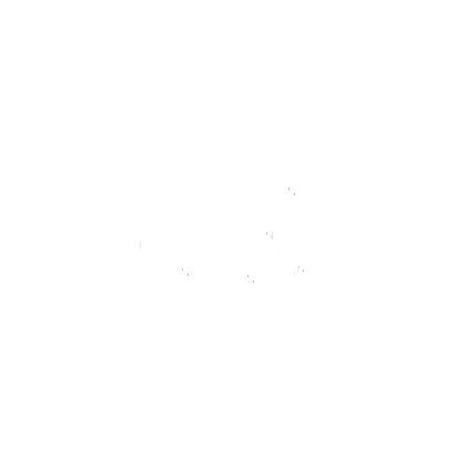 CC(C)(C)CN1CCCC1CNc1nccc(N2CCCCCC2)n1